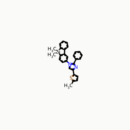 Cc1ccc(-c2cn(-c3ccc4c(c3)-c3ccccc3[Si]4(C)C)c(-c3ccccc3)n2)s1